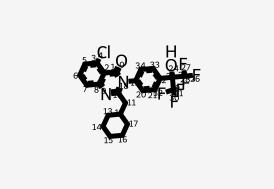 O=c1c2c(Cl)cccc2nc(CC2CCCCC2)n1-c1ccc(C(O)(C(F)(F)F)C(F)(F)F)cc1